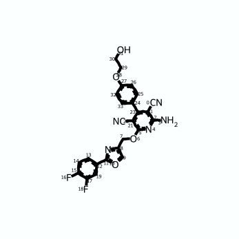 N#Cc1c(N)nc(OCc2coc(-c3ccc(F)c(F)c3)n2)c(C#N)c1-c1ccc(OCCO)cc1